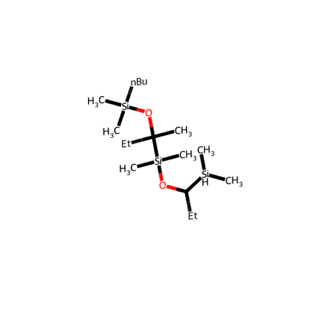 CCCC[Si](C)(C)OC(C)(CC)[Si](C)(C)OC(CC)[SiH](C)C